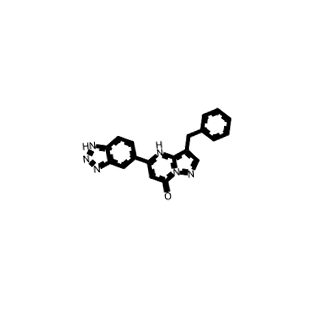 O=c1cc(-c2ccc3[nH]nnc3c2)[nH]c2c(Cc3ccccc3)cnn12